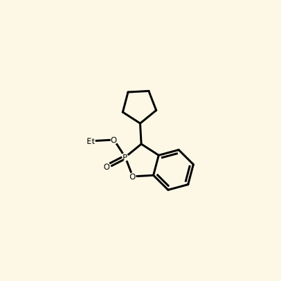 CCOP1(=O)Oc2ccccc2C1C1CCCC1